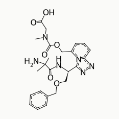 CN(CC(=O)O)C(=O)OCc1cccc2nnc([C@@H](COCc3ccccc3)NC(=O)C(C)(C)N)n12